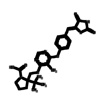 Cc1c(OCC2(C(C)(C)C)CCCN2C(=O)O)ncnc1Oc1ccc(/C=C2\SC(=O)NC2=O)cc1